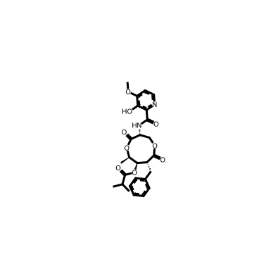 COc1ccnc(C(=O)N[C@@H]2COC(=O)[C@H](Cc3ccccc3)[C@@H](OC(=O)C(C)C)[C@@H](C)OC2=O)c1O